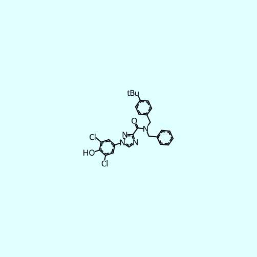 CC(C)(C)c1ccc(CN(Cc2ccccc2)C(=O)c2ncn(-c3cc(Cl)c(O)c(Cl)c3)n2)cc1